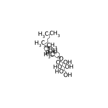 CC(C)CCCC(C)[C@H]1CC[C@H]2[C@@H]3CC=C4C[C@@H](OC(=O)C(O)C(O)C(O)C(O)CO)CC[C@]4(C)[C@H]3CC[C@]12C